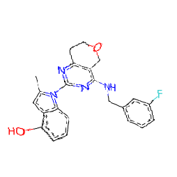 Cc1cc2c(O)cccc2n1-c1nc2c(c(NCc3cccc(F)c3)n1)COCC2